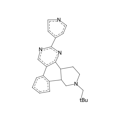 CC(C)(C)CN1CCC2c3nc(-c4ccncc4)ncc3-c3ccccc3C2C1